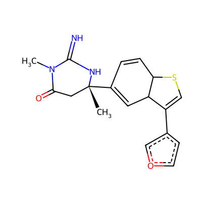 CN1C(=N)N[C@](C)(C2=CC3C(c4ccoc4)=CSC3C=C2)CC1=O